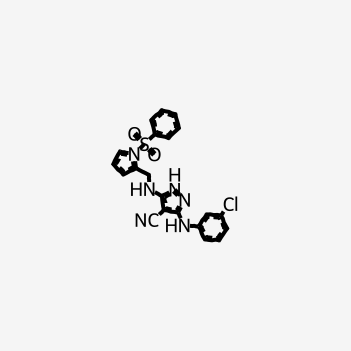 N#Cc1c(Nc2cccc(Cl)c2)n[nH]c1NCc1cccn1S(=O)(=O)c1ccccc1